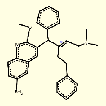 Bc1ccc2nc(OC)c(C(/C(=C/CN(C)C)CCc3ccccc3)c3ccccc3)cc2c1